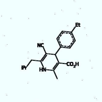 CCc1ccc(C2C(C#N)=C(CC(C)C)NC(C)=C2C(=O)O)cc1